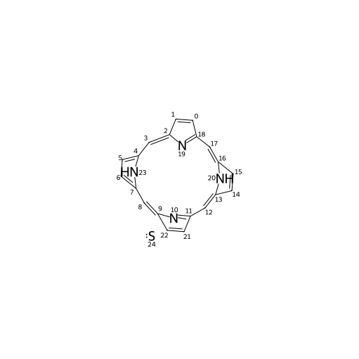 C1=Cc2cc3ccc(cc4nc(cc5ccc(cc1n2)[nH]5)C=C4)[nH]3.[S]